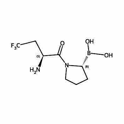 N[C@@H](CC(F)(F)F)C(=O)N1CCC[C@H]1B(O)O